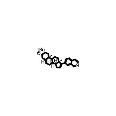 CC(C)(C)O[C@@H]1CC[C@@]2(C)[C@@H](CC[C@@H]3[C@@H]2CC[C@]2(C)C(c4ccc5ccncc5c4)=CC[C@@H]32)C1